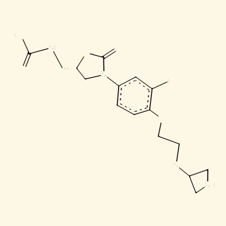 CC(=O)NC[C@H]1CN(c2ccc(OCCNC3CNC3)c(F)c2)C(=O)O1